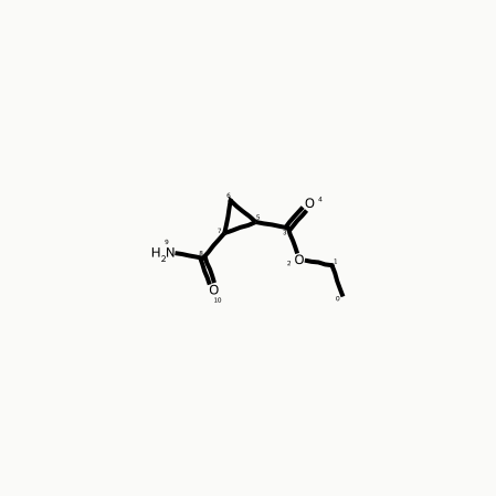 CCOC(=O)C1CC1C(N)=O